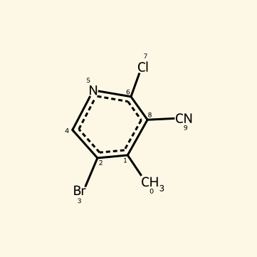 Cc1c(Br)cnc(Cl)c1C#N